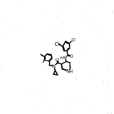 Cc1cccc(CN(C(=O)C2CNCCC2NC(=O)c2cc(Cl)cc(Cl)c2)C2CC2)c1C